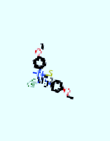 CCOc1ccc(NC(=S)Nc2ccc(OCC)cc2)cc1.[Cl-].[Cl-].[Mg+2]